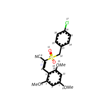 COc1cc(OC)c(/C=C(/C#N)S(=O)(=O)Cc2ccc(Cl)cc2)c(OC)c1